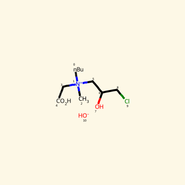 CCCC[N+](C)(CC(=O)O)CC(O)CCl.[OH-]